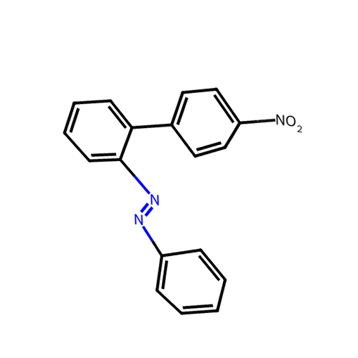 O=[N+]([O-])c1ccc(-c2ccccc2N=Nc2ccccc2)cc1